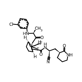 C[C@H](Nc1cccc(Cl)c1)C(=O)N1[C@@H]2CC[C@H]([C@@H]1C(=O)N[C@H](C#N)C[C@@H]1CCCNC1=O)C(F)(F)C2